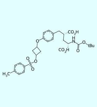 Cc1ccc(S(=O)(=O)OC2CC(Oc3ccc(C[C@@H](C[C@H](NC(=O)OC(C)(C)C)C(=O)O)C(=O)O)cc3)C2)cc1